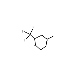 CN1CC[CH]C(C(F)(F)F)C1